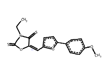 CCN1C(=S)O/C(=C/c2ccc(-c3ccc(OC)cc3)o2)C1=S